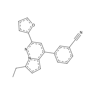 CCc1ccc2c(-c3cccc(C#N)c3)cc(-c3ccco3)nn12